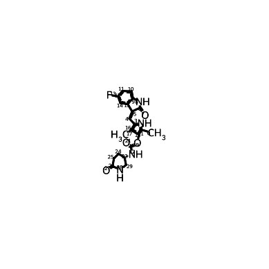 Cc1[nH]c(/C=C2\C(=O)Nc3ccc(F)cc32)c(C)c1OC(=O)N[C@H]1CCC(=O)NC1